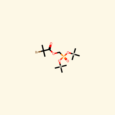 CC(C)(Br)C(=O)OCP(=O)(O[Si](C)(C)C)O[Si](C)(C)C